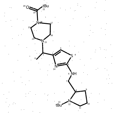 CC(c1csc(NCC2CCCN2C(C)(C)C)n1)N1CCN(C(=O)C(C)(C)C)CC1